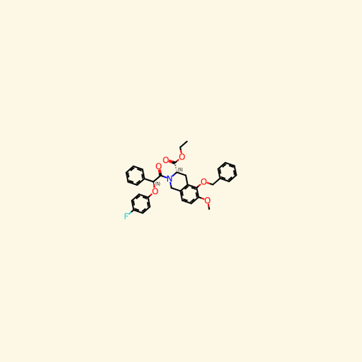 CCOC(=O)[C@@H]1Cc2c(ccc(OC)c2OCc2ccccc2)CN1C(=O)[C@@H](Oc1ccc(F)cc1)c1ccccc1